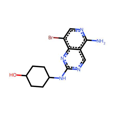 Nc1ncc(Br)c2nc(NC3CCC(O)CC3)ncc12